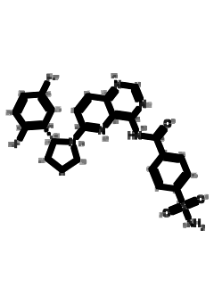 NS(=O)(=O)c1ccc(C(=O)Nc2ncnc3ccc(N4CCC[C@@H]4c4cc(F)ccc4F)nc23)cc1